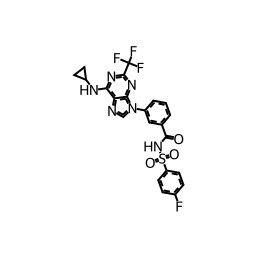 O=C(NS(=O)(=O)c1ccc(F)cc1)c1cccc(-n2cnc3c(NC4CC4)nc(C(F)(F)F)nc32)c1